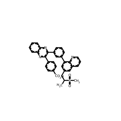 CC(Cc1cc(-c2cccc(-c3nc4ccccc4nc3-c3ccc(C(=O)O)cc3)c2)c2ncccc2c1)S(C)(=O)=O